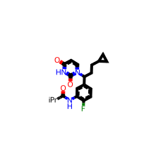 CC(C)C(=O)Nc1cc(C(CCC2CC2)n2ccc(=O)[nH]c2=O)ccc1F